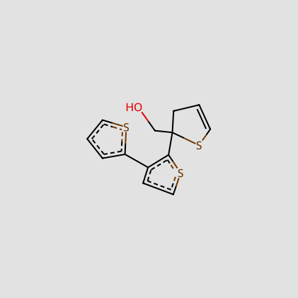 OCC1(c2sccc2-c2cccs2)CC=CS1